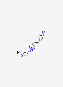 CCCC[n+]1ccc(/C=C/c2ccc(N3CCC3)cc2)cc1